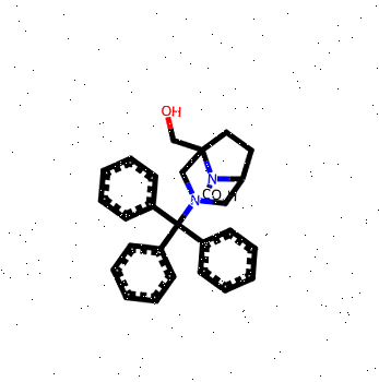 O=C(O)N1C2CCC1(CO)CN(C(c1ccccc1)(c1ccccc1)c1ccccc1)C2